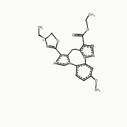 CCOC(=O)c1nnn2c1Cc1c(C3=N[C@@H](CC)CO3)ncn1-c1ccc(OC)cc1-2